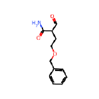 NC(=O)C(C=O)CCOCc1ccccc1